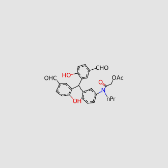 CCCN(C(=O)COC(C)=O)c1cccc(C(c2cc(C=O)ccc2O)c2cc(C=O)ccc2O)c1